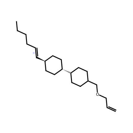 C=CCOCC1CCC([C@H]2CC[C@H](/C=C/CCCC)CC2)CC1